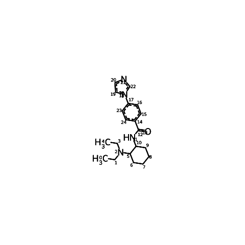 CCN(CC)C1CCCCC1NC(=O)c1ccc(-n2ccnc2)cc1